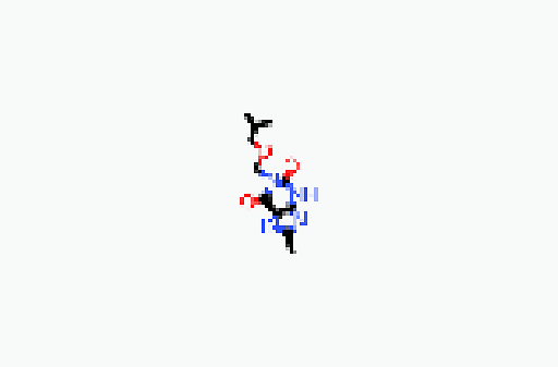 Cc1nc2[nH]c(=O)n(COCC(C)C)c(=O)c2[nH]1